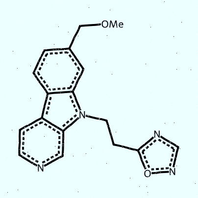 COCc1ccc2c3ccncc3n(CCc3ncno3)c2c1